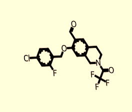 O=Cc1cc2c(cc1OCc1ccc(Cl)cc1F)CN(C(=O)C(F)(F)F)CC2